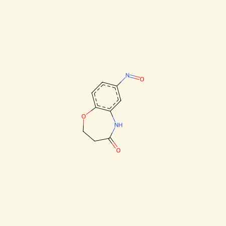 O=Nc1ccc2c(c1)NC(=O)CCO2